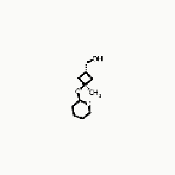 C[C@]1(OC2CCCCO2)C[C@H](CO)C1